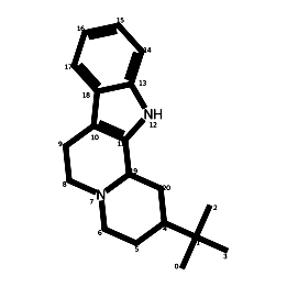 CC(C)(C)C1CCN2CCc3c([nH]c4ccccc34)C2C1